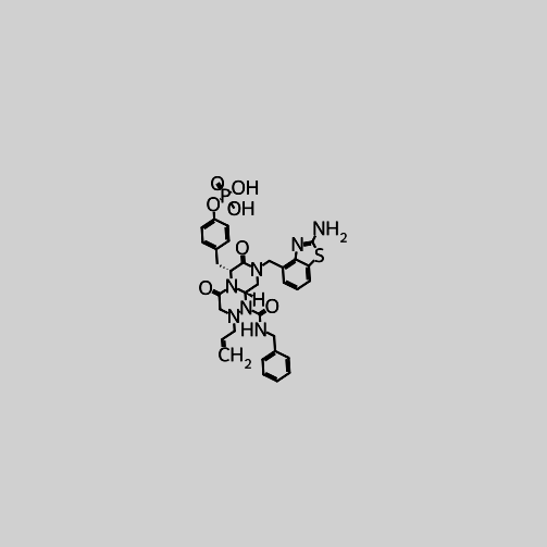 C=CCN1CC(=O)N2[C@H](Cc3ccc(OP(=O)(O)O)cc3)C(=O)N(Cc3cccc4sc(N)nc34)C[C@@H]2N1C(=O)NCc1ccccc1